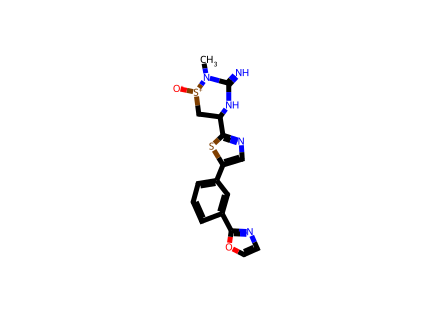 CN1C(=N)NC(c2ncc(-c3cccc(-c4ncco4)c3)s2)C[S+]1[O-]